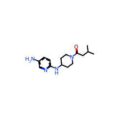 CC(C)CC(=O)N1CCC(Nc2ccc(N)cn2)CC1